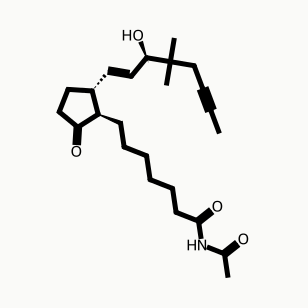 CC#CCC(C)(C)[C@H](O)C=C[C@H]1CCC(=O)[C@@H]1CCCCCCC(=O)NC(C)=O